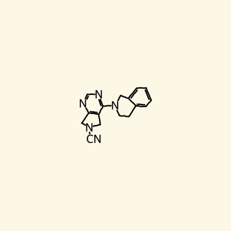 N#CN1Cc2ncnc(N3CCc4ccccc4C3)c2C1